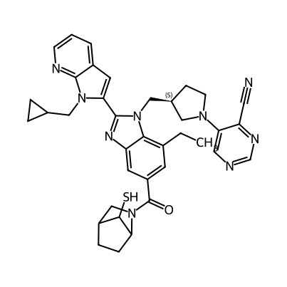 CCc1cc(C(=O)N2CC3CCC2C3S)cc2nc(-c3cc4cccnc4n3CC3CC3)n(C[C@H]3CCN(c4cncnc4C#N)C3)c12